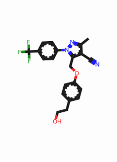 Cc1nn(-c2ccc(C(F)(F)F)cc2)c(COc2ccc(CCO)cc2)c1C#N